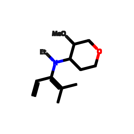 C=CC(=C(C)C)N(CC)C1CCOCC1OC